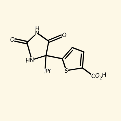 CC(C)C1(c2ccc(C(=O)O)s2)NC(=O)NC1=O